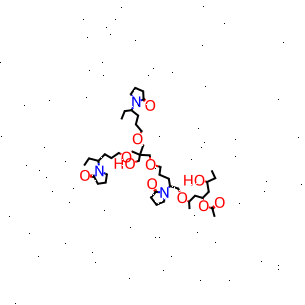 CCC(O)CC(CC(C)OCC(CCCOCC(CO)(COCCCC(CC)N1CCCC1=O)COCCCC(CC)N1CCCC1=O)N1CCCC1=O)OC(C)=O